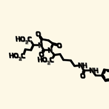 O=C(O)CCC(C(=O)O)N1C(=O)CC(=O)N(C(CCCCNC(=O)NCc2ccccc2)C(=O)O)C1=O